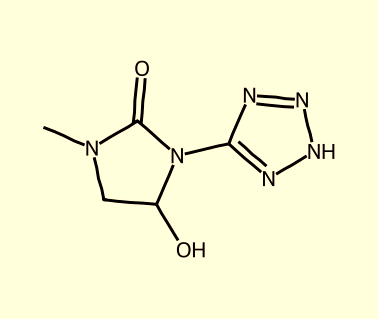 CN1CC(O)N(c2nn[nH]n2)C1=O